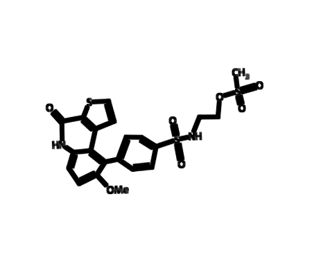 COc1ccc2[nH]c(=O)c3sccc3c2c1-c1ccc(S(=O)(=O)NCCOS(C)(=O)=O)cc1